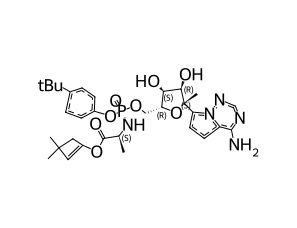 C[C@H](NP(=O)(OC[C@H]1O[C@@](C)(c2ccc3c(N)ncnn23)[C@H](O)[C@@H]1O)Oc1ccc(C(C)(C)C)cc1)C(=O)OC1=CC(C)(C)C1